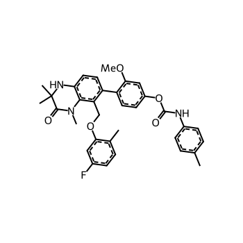 COc1cc(OC(=O)Nc2ccc(C)cc2)ccc1-c1ccc2c(c1COc1cc(F)ccc1C)N(C)C(=O)C(C)(C)N2